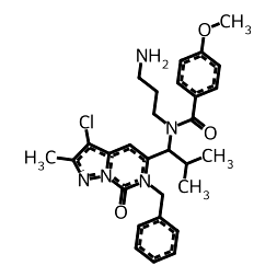 COc1ccc(C(=O)N(CCCN)C(c2cc3c(Cl)c(C)nn3c(=O)n2Cc2ccccc2)C(C)C)cc1